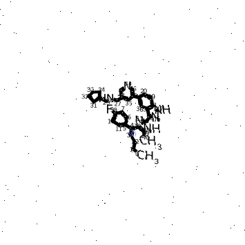 CCC/C=C(/c1ccc(F)cc1)c1nc(-c2n[nH]c3ccc(-c4cncc(CNCC5CCCC5)c4)cc23)[nH]c1C